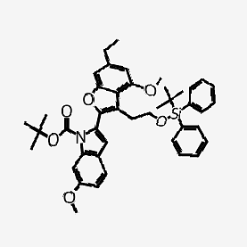 CCc1cc(OC)c2c(CCO[Si](c3ccccc3)(c3ccccc3)C(C)(C)C)c(-c3cc4ccc(OC)cc4n3C(=O)OC(C)(C)C)oc2c1